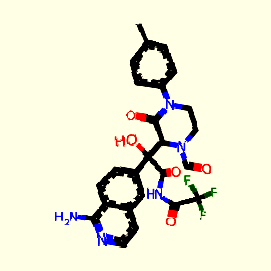 Cc1ccc(N2CCN(C=O)C(C(O)(C(=O)NC(=O)C(F)(F)F)c3ccc4c(N)nccc4c3)C2=O)cc1